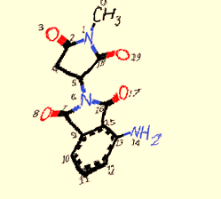 CN1C(=O)CC(N2C(=O)c3cccc(N)c3C2=O)C1=O